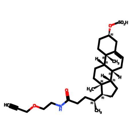 C#CCOCCNC(=O)CC[C@@H](C)[C@H]1CC[C@H]2[C@@H]3CC=C4C[C@@H](OS(=O)(=O)O)CC[C@]4(C)[C@H]3CC[C@]12C